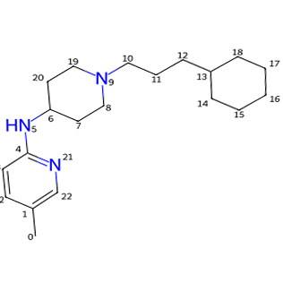 Cc1ccc(NC2CCN(CCCC3CCCCC3)CC2)nc1